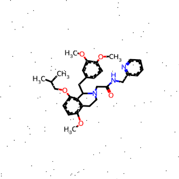 COc1ccc(CC2c3c(OCC(C)C)ccc(OC)c3CCN2CC(=O)NCc2ccccn2)cc1OC